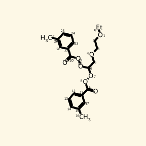 [CH2]COCCOC[C](OOC(=O)c1cccc(C)c1)OOC(=O)c1cccc(C)c1